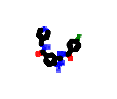 O=C(NCc1ccncc1)c1ccc2[nH]nc(NC(=O)c3ccc(F)cc3)c2c1